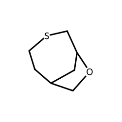 C1CC2COC(CS1)C2